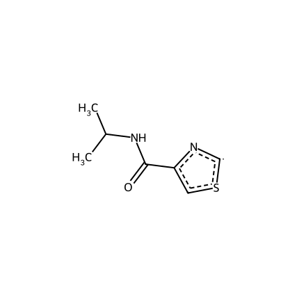 CC(C)NC(=O)c1cs[c]n1